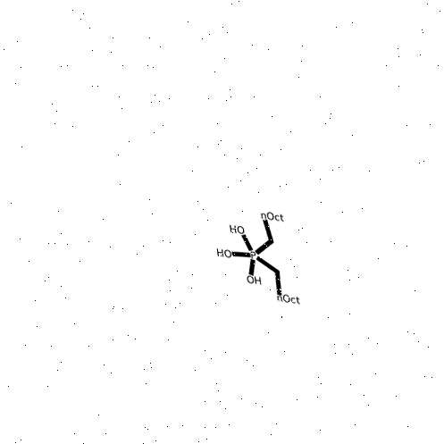 CCCCCCCCCP(O)(O)(O)CCCCCCCCC